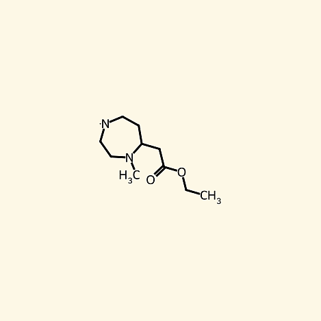 CCOC(=O)CC1CC[N]CCN1C